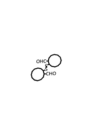 O=CC1CCCCCCCCCCC1SSC1CCCCCCCCCCC1C=O